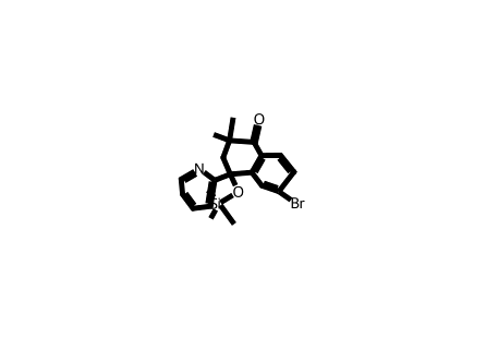 CC1(C)CC(O[Si](C)(C)C)(c2ccccn2)c2cc(Br)ccc2C1=O